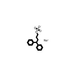 O=S(=O)([O-])OCCCC(c1ccccc1)c1ccccc1.[Na+]